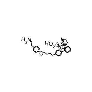 NCCc1ccc(OCCCCc2ccc(-c3ccccc3)c(N(C(=O)O)[C@H]3CN4CCC3CC4)c2)cc1